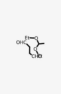 CCOC(C)OCC.O=CCCC=O